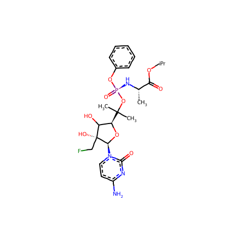 CC(C)OC(=O)[C@H](C)N[P@@](=O)(Oc1ccccc1)OC(C)(C)[C@H]1O[C@@H](n2ccc(N)nc2=O)[C@@](O)(CF)C1O